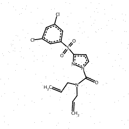 C=CCN(CC=C)C(=O)n1ccc(S(=O)(=O)c2cc(Cl)cc(Cl)c2)n1